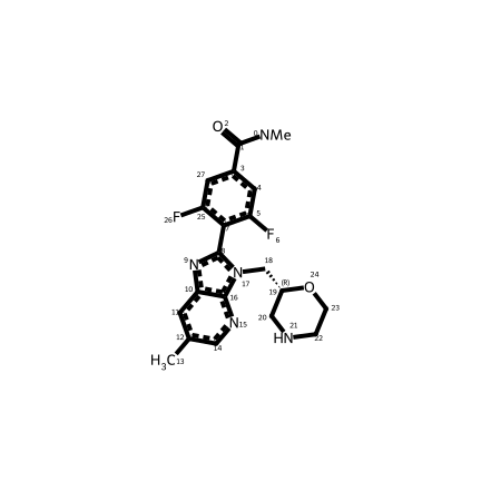 CNC(=O)c1cc(F)c(-c2nc3cc(C)cnc3n2C[C@H]2CNCCO2)c(F)c1